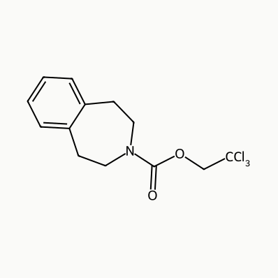 O=C(OCC(Cl)(Cl)Cl)N1CCc2ccccc2CC1